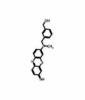 CN(Cc1cccc(CO)c1)c1ccc2nc3ccc(=N)cc-3sc2c1